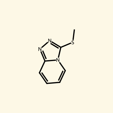 CSc1nnc2ccccn12